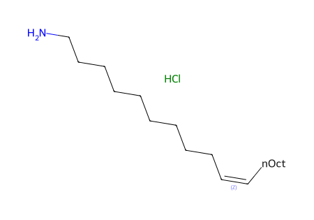 CCCCCCCC/C=C\CCCCCCCCCN.Cl